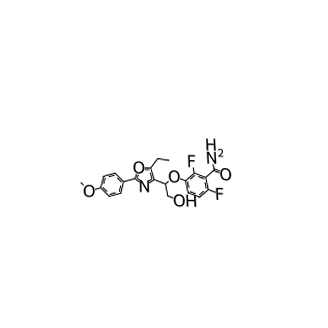 CCc1oc(-c2ccc(OC)cc2)nc1C(CO)Oc1ccc(F)c(C(N)=O)c1F